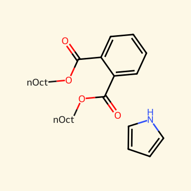 CCCCCCCCOC(=O)c1ccccc1C(=O)OCCCCCCCC.c1cc[nH]c1